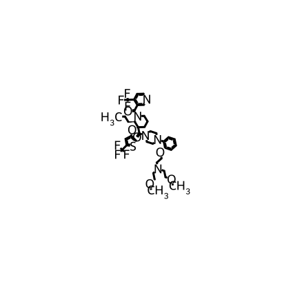 CCC[C@H]1N(C(=O)c2cnccc2C(F)(F)F)CCC[C@@]1(Oc1csc(C(F)(F)F)c1)C(=O)N1CCN(c2ccccc2OCCN(CCOC)CCOC)CC1